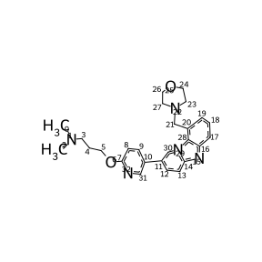 CN(C)CCCOc1ccc(-c2ccc3nc4cccc(CN5CCOCC5)c4n3c2)cn1